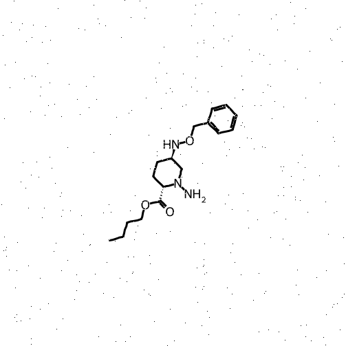 CCCCOC(=O)[C@@H]1CC[C@@H](NOCc2ccccc2)CN1N